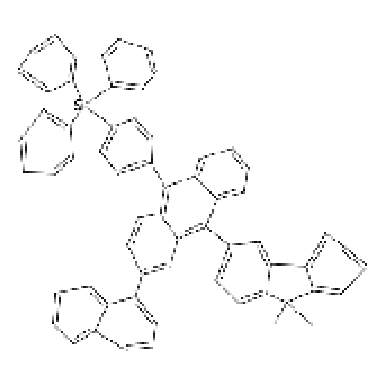 CC1(C)c2ccccc2-c2cc(-c3c4ccccc4c(-c4ccc([Si](c5ccccc5)(c5ccccc5)c5ccccc5)cc4)c4ccc(-c5cccc6ccccc56)cc34)ccc21